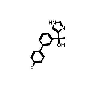 CC(O)(c1cccc(-c2ccc(F)cc2)c1)c1c[nH]cn1